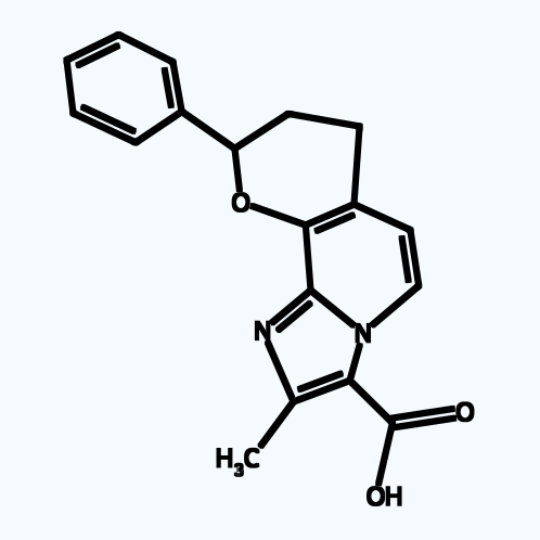 Cc1nc2c3c(ccn2c1C(=O)O)CCC(c1ccccc1)O3